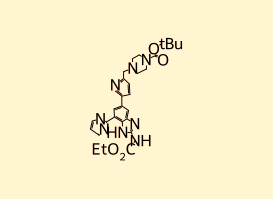 CCOC(=O)Nc1nc2cc(-c3ccc(CN4CCN(C(=O)OC(C)(C)C)CC4)nc3)cc(-c3ncccn3)c2[nH]1